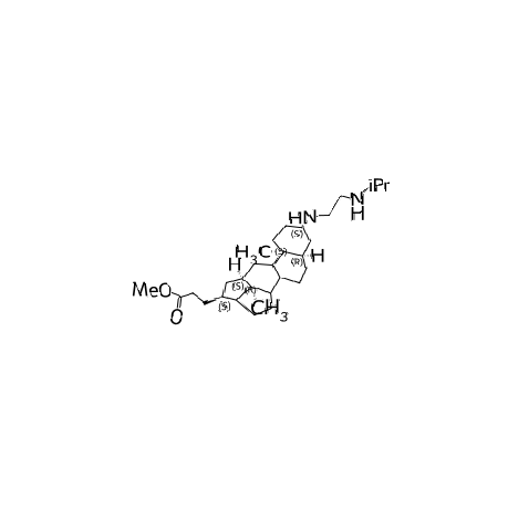 COC(=O)CC[C@H]1C[C@H]2CC3C(CC[C@@H]4C[C@@H](NCCNC(C)C)CC[C@]34C)C3CCC1[C@]32C